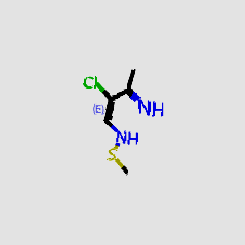 CSN/C=C(/Cl)C(C)=N